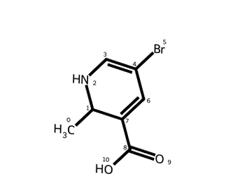 CC1NC=C(Br)C=C1C(=O)O